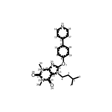 CC(C)CCn1c(Oc2ccc(-c3ccncc3)cc2)nc2c1c(=O)n(C)c(=O)n2C